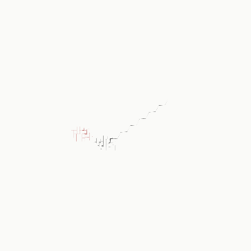 Br.Br.Br.CCCC.CCCC.CCCC.CCCCCCCCCCCCCC